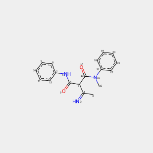 CC(=N)C(C(=O)Nc1ccccc1)C(=O)N(C)c1ccccc1